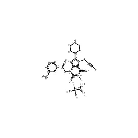 CC#CCn1c(N2CCNCC2)nc2c1c(=O)n(C)c(=O)n2CC(=O)c1cccc(OC)c1.O=C(O)C(F)(F)F